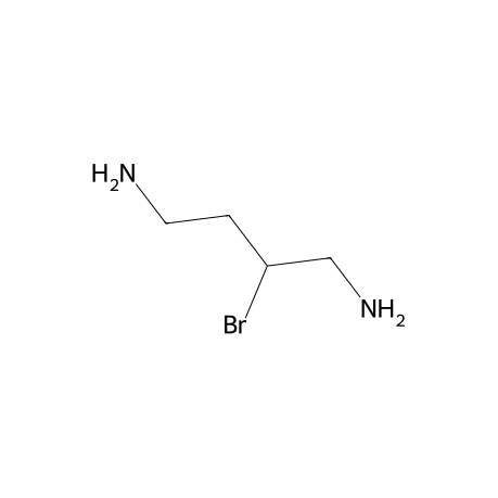 NCCC(Br)CN